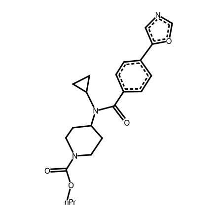 CCCOC(=O)N1CCC(N(C(=O)c2ccc(-c3cnco3)cc2)C2CC2)CC1